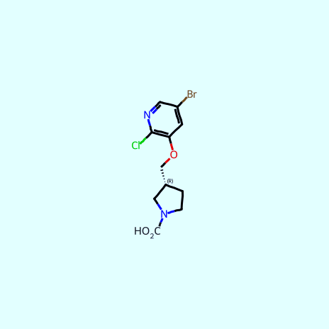 O=C(O)N1CC[C@@H](COc2cc(Br)cnc2Cl)C1